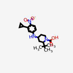 CC(C)(C)C1CC(Nc2ccc([N+](=O)[O-])c(C3CC3)c2)CCN1C(=O)O